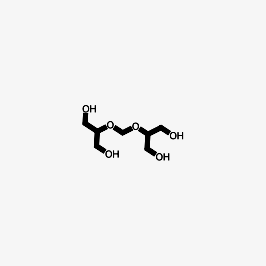 OCC(CO)OCOC(CO)CO